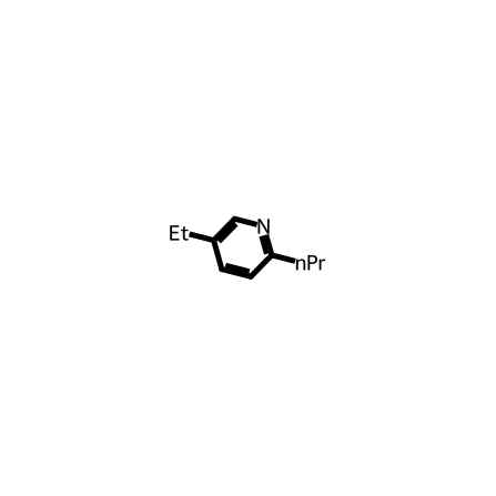 [CH2]CCc1ccc(CC)cn1